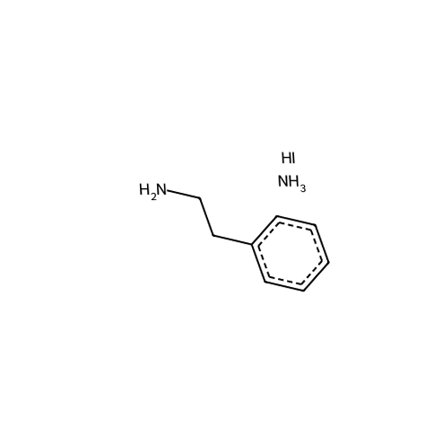 I.N.NCCc1ccccc1